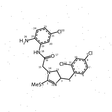 CSC1=NC(Cc2ccc(Cl)cc2Cl)CN1CC(=O)Nc1cc(Cl)ccc1N